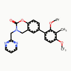 Cc1c(OC(F)(F)F)ccc(-c2ccc3c(c2)CN(Cc2ncccn2)C(=O)O3)c1OC(C)C